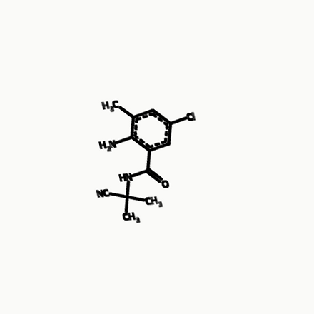 Cc1cc(Cl)cc(C(=O)NC(C)(C)C#N)c1N